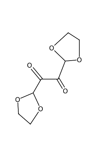 O=C(C(=O)C1OCCO1)C1OCCO1